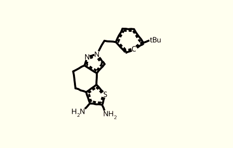 CC(C)(C)c1ccc(Cn2cc3c(n2)CCc2c-3sc(N)c2N)cc1